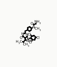 CC(C)c1[nH]n(-c2c(Cl)cc(Cl)cc2Cl)c2nc(Cc3ccc(N(C)C(=O)CN)cc3)nc(=O)c1-2